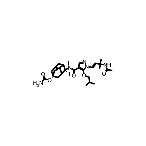 CC(=O)NC(C)(C)/C=C/n1ncc(C(=O)N[C@H]2C3CC4CC2C[C@](OC(N)=O)(C4)C3)c1OCC(C)C